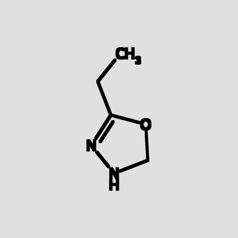 CCC1=NNCO1